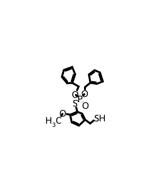 COc1ccc(CS)cc1SP(=O)(OCc1ccccc1)OCc1ccccc1